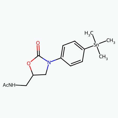 CC(=O)NCC1CN(c2cc[c]([Sn]([CH3])([CH3])[CH3])cc2)C(=O)O1